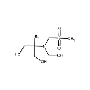 CCC(C)C(CO)(CO)N(CO)CS(C)(=O)=O